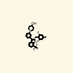 OC1CCN(c2cccc(-c3c4cccc(C(F)(F)F)c4nn3Cc3c(F)cc(F)cc3F)c2)CC1